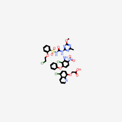 COc1nc(C)nc(NC(=O)NS(=O)(=O)c2ccccc2OCCCl)n1.Nc1c([N+](=O)[O-])ccc(Oc2ccccc2)c1Cl.O=C(O)COc1ccc(Cl)c2cccnc12